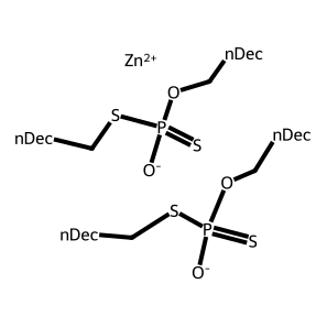 CCCCCCCCCCCOP([O-])(=S)SCCCCCCCCCCC.CCCCCCCCCCCOP([O-])(=S)SCCCCCCCCCCC.[Zn+2]